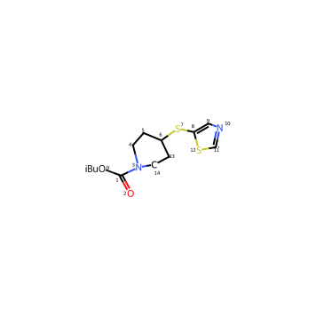 CC(C)COC(=O)N1CCC(Sc2cn[c]s2)CC1